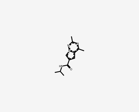 Cc1nc(C)c2cc(C(=O)NC(C)C)cn2n1